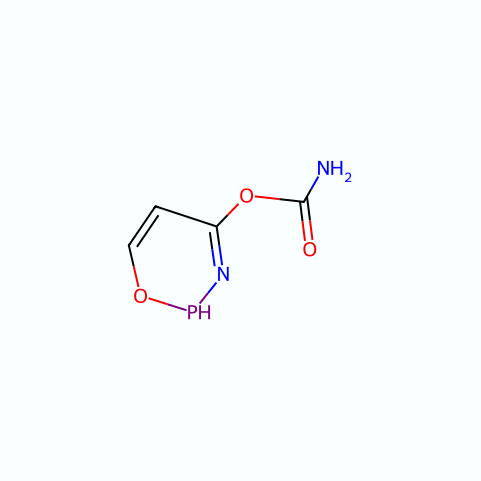 NC(=O)OC1=NPOC=C1